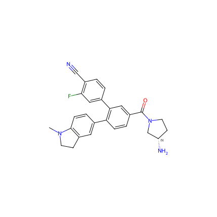 CN1CCc2cc(-c3ccc(C(=O)N4CC[C@H](N)C4)cc3-c3ccc(C#N)c(F)c3)ccc21